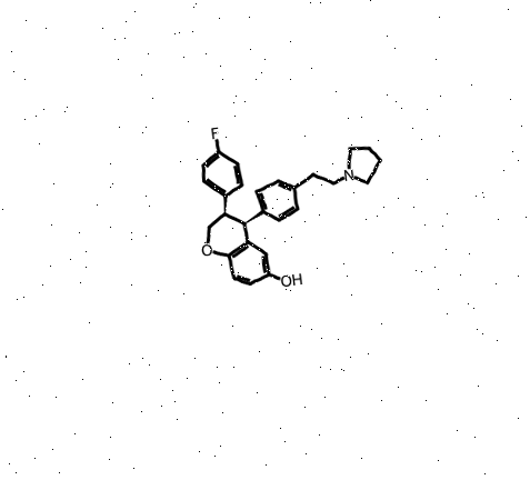 Oc1ccc2c(c1)[C@H](c1ccc(CCN3CCCC3)cc1)[C@H](c1ccc(F)cc1)CO2